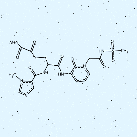 CNC(=O)C(=O)CCC(NC(=O)c1cncn1C)C(=O)Nc1cccn(CC(=O)NS(C)(=O)=O)c1=O